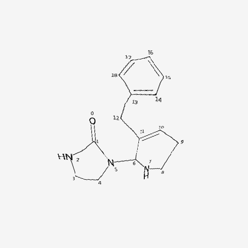 O=C1NCCN1C1NCCC=C1Cc1ccccc1